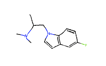 CC(Cn1ccc2cc(F)ccc21)N(C)C